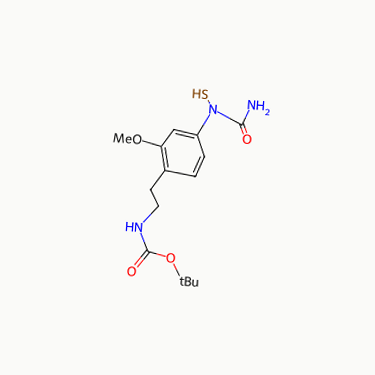 COc1cc(N(S)C(N)=O)ccc1CCNC(=O)OC(C)(C)C